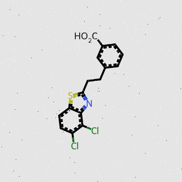 O=C(O)c1cccc(CCc2nc3c(Cl)c(Cl)ccc3s2)c1